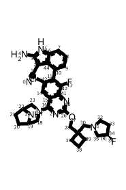 N#Cc1c(N)[nH]c2cccc(-c3c(Cl)cc4c(N5CC6CCC(C5)N6)nc(OCC5(CN6CC[C@@H](F)C6)CCC5)nc4c3F)c12